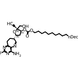 C#C[C@]1(CO)O[C@@H](C2C=Nc3c(N)nc(F)nc3CC2)C[C@@H]1OC(=O)OCCCCCCCCCCCCCCCCCCCC